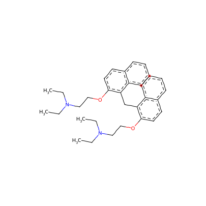 CCN(CC)CCOc1ccc2ccccc2c1Cc1c(OCCN(CC)CC)ccc2ccccc12